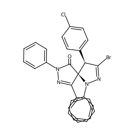 O=C1N(c2ccccc2)N=C(c2ccccc2)[C@@]12[C@@H](c1ccc(Cl)cc1)C(Br)=NN2c1ccccc1